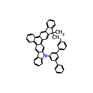 CC1(C)c2ccccc2-c2cc3c4ccccc4c4cc5c6ccccc6n(-c6cc(-c7ccccc7)cc(-c7ccccc7)c6)c5cc4c3cc21